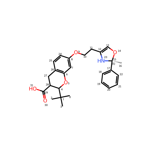 CC(C)(C)C1Oc2cc(OCCC3=CO[C@@](C)(c4ccccc4)N3)ccc2CC1C(=O)O